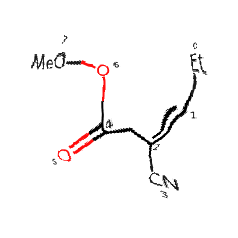 CCC=C(C#N)C(=O)OOC